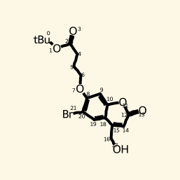 CC(C)(C)OC(=O)CCCOc1cc2oc(=O)cc(CO)c2cc1Br